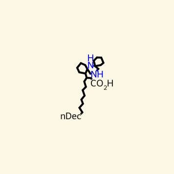 CCCCCCCCCCCCCCCCCCC(CC(=O)O)C1CCCCC12CNCC1(CCCCC1)N2